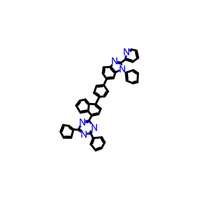 c1ccc(-c2nc(-c3ccccc3)nc(-c3ccc(-c4ccc(-c5ccc6nc(-c7ccccn7)n(-c7ccccc7)c6c5)cc4)c4ccccc34)n2)cc1